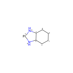 C1CCC2[NH][Pt][NH]C2C1